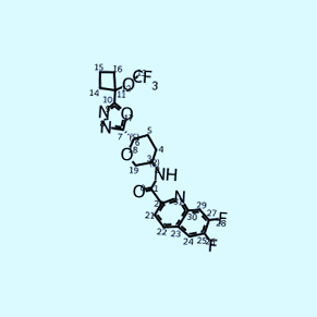 O=C(N[C@@H]1CC[C@@H](c2nnc(C3(OC(F)(F)F)CCC3)o2)OC1)c1ccc2cc(F)c(F)cc2n1